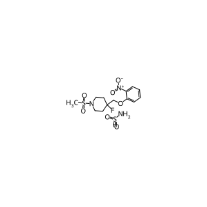 CS(=O)(=O)N1CCC(F)(COc2ccccc2[N+](=O)[O-])CC1.N[SH](=O)=O